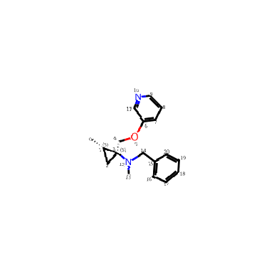 C[C@H]1C[C@]1(COc1cccnc1)N(C)Cc1ccccc1